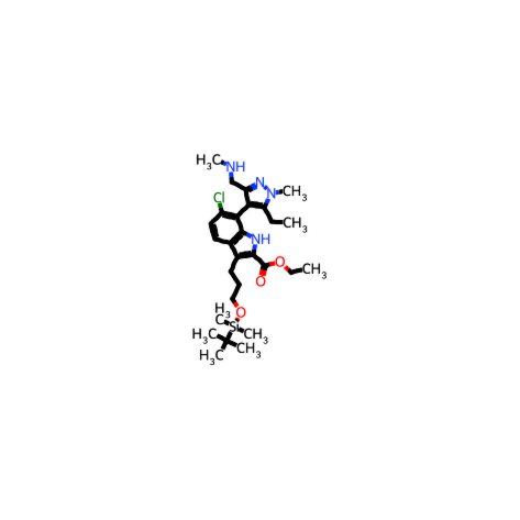 CCOC(=O)c1[nH]c2c(-c3c(CNC)nn(C)c3CC)c(Cl)ccc2c1CCCO[Si](C)(C)C(C)(C)C